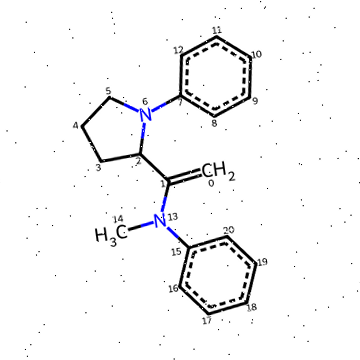 C=C(C1CCCN1c1ccccc1)N(C)c1ccccc1